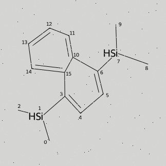 C[SiH](C)c1ccc([SiH](C)C)c2ccccc12